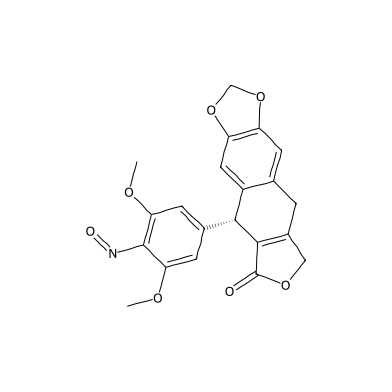 COc1cc([C@H]2C3=C(COC3=O)Cc3cc4c(cc32)OCO4)cc(OC)c1N=O